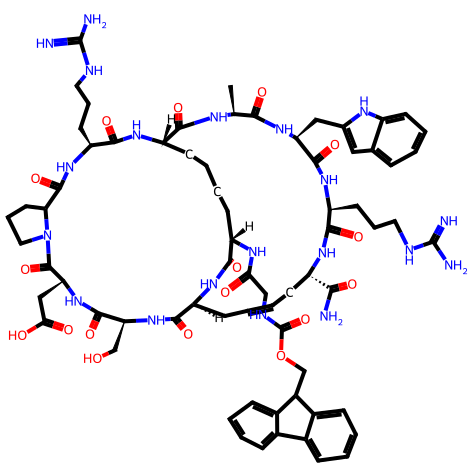 C[C@@H]1NC(=O)[C@@H]2CCCC[C@H](NC(=O)CNC(=O)OCC3c4ccccc4-c4ccccc43)C(=O)N[C@@H](CC=CC[C@@H](C(N)=O)NC(=O)[C@H](CCCNC(=N)N)NC(=O)[C@H](Cc3cc4ccccc4[nH]3)NC1=O)C(=O)N[C@@H](CO)C(=O)N[C@@H](CC(=O)O)C(=O)N1CCCC1C(=O)N[C@@H](CCCNC(=N)N)C(=O)N2